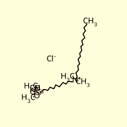 CCCCCCCCCCCCCCCCCC[N+](C)(C)CCCCCCCCCCC[Si](OC)(OC)OC.[Cl-]